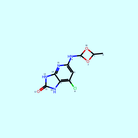 CC1OC(Nc2cc(Cl)c3[nH]c(=O)[nH]c3n2)O1